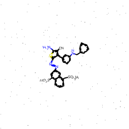 N#Cc1c(N)sc(/N=N/c2cc(S(=O)(=O)O)c3cccc(S(=O)(=O)O)c3c2)c1-c1cccc(NCc2ccccc2)c1